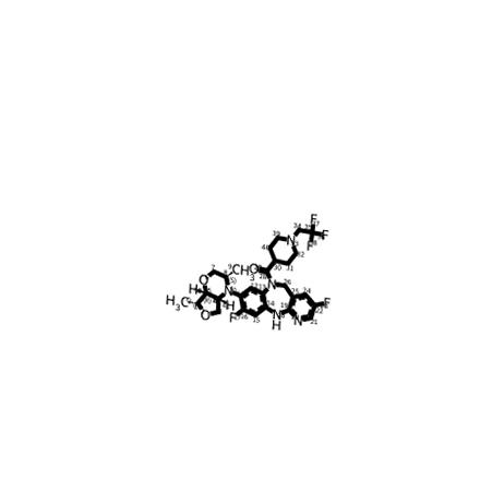 C[C@H]1OC[C@@H]2[C@H]1OC[C@H](C)N2c1cc2c(cc1F)Nc1ncc(F)cc1CN2C(=O)C1CCN(CC(F)(F)F)CC1